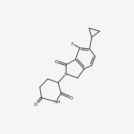 O=C1CCC(N2Cc3ccc(C4CC4)c(F)c3C2=O)C(=O)N1